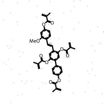 C=C(C)C(=O)Oc1ccc(-c2cc(OC(=O)C(=C)C)c(/C=C/c3ccc(OC(=O)C(=C)C)cc3OC)cc2OC(=O)C(=C)C)cc1